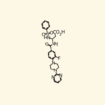 O=C(O)CC(NC(=O)c1ccc(N2CCN(c3ncccn3)CC2)c(F)c1)NS(=O)(=O)c1ccccc1